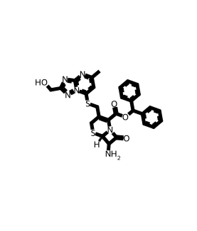 Cc1cc(SCC2=C(C(=O)OC(c3ccccc3)c3ccccc3)N3C(=O)C(N)[C@@H]3SC2)n2nc(CO)nc2n1